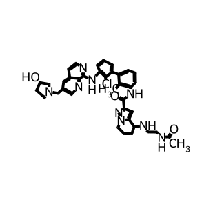 CC(=O)NCCNC1CCCn2nc(C(=O)Nc3cccc(-c4cccc(Nc5nccc6cc(CN7CC[C@@H](O)C7)cnc56)c4Cl)c3C)cc21